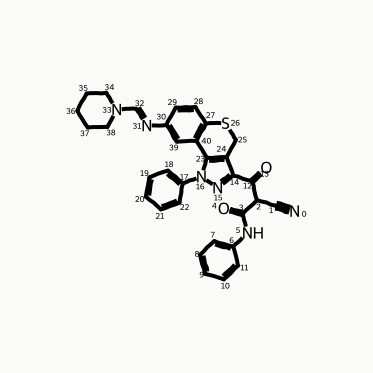 N#CC(C(=O)Nc1ccccc1)C(=O)c1nn(-c2ccccc2)c2c1CSc1ccc(N=CN3CCCCC3)cc1-2